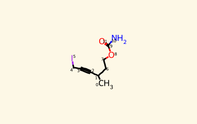 CC(C#CCI)CCOC(N)=O